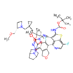 COC[C@@H]1CCN1CC1(COc2nc(N3C4CCC3CN(C(=O)OC(C)(C)C)C4)c3c4c(c(-c5ncc(F)c6sc(NC(=O)OC(C)(C)C)c(C#N)c56)c(F)c3n2)COC4)CC1